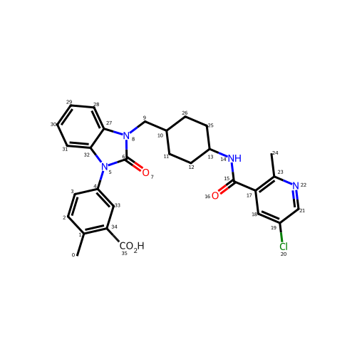 Cc1ccc(-n2c(=O)n(CC3CCC(NC(=O)c4cc(Cl)cnc4C)CC3)c3ccccc32)cc1C(=O)O